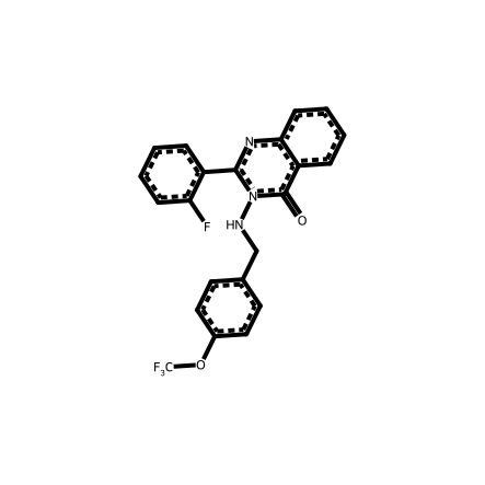 O=c1c2ccccc2nc(-c2ccccc2F)n1NCc1ccc(OC(F)(F)F)cc1